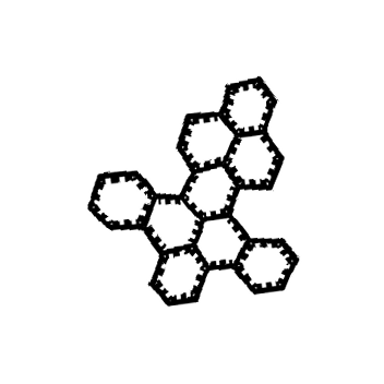 c1cc2ccc3c4c(ccc(c1)c24)c1c2ccccc2c2cccc4c5ccccc5c3c1c42